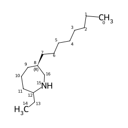 CCCCCCCC[C@@H]1CCCC(CC)NC1